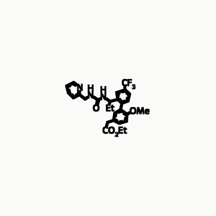 CCOC(=O)Cc1ccc(OC)c(-c2ccc(C(F)(F)F)cc2C(CC)NC(=O)NCc2ccccn2)c1